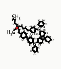 CCCCCCCCc1ccc(-c2ccc(N(c3ccccc3)c3ccc(C4(c5ccc(N(c6ccccc6)c6ccc(CCCCCCCC)cc6)cc5)CCCCC4)cc3)cc2)cc1